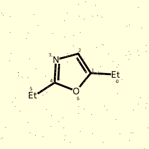 CCc1cnc(CC)o1